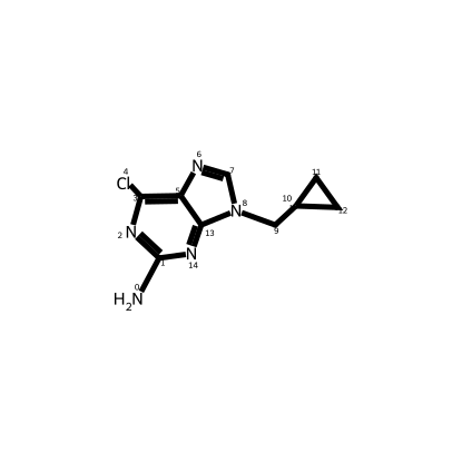 Nc1nc(Cl)c2ncn(C[C]3CC3)c2n1